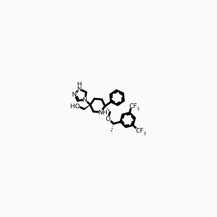 C[C@H](OC[C@@]1(c2ccccc2)CC[C@@](CO)(N2C=NNC2)CN1)c1cc(C(F)(F)F)cc(C(F)(F)F)c1